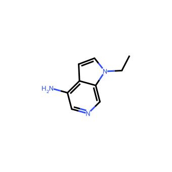 CCn1ccc2c(N)cncc21